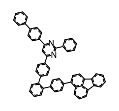 c1ccc(-c2ccc(-c3cc(-c4ccc(-c5ccccc5-c5ccc(-c6ccc7c8c(cccc68)-c6ccccc6-7)cc5)cc4)nc(-c4ccccc4)n3)cc2)cc1